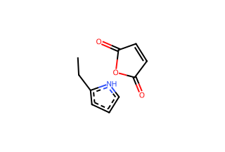 CCc1ccc[nH]1.O=C1C=CC(=O)O1